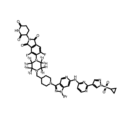 [2H]C1([2H])N(CC2CCN(c3nn(C(C)C)c4cc(Nc5ccnc(-c6cnn(S(=O)(=O)C7CC7)c6)n5)ncc34)CC2)C([2H])([2H])C([2H])([2H])N(c2c(F)cc3c(c2F)C(=O)N(C2CCC(=O)NC2=O)C3=O)C1([2H])[2H]